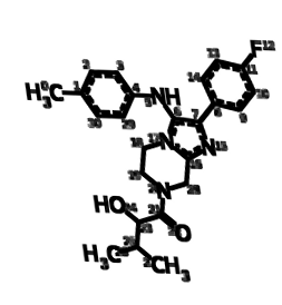 Cc1ccc(Nc2c(-c3ccc(F)cc3)nc3n2CCN(C(=O)C(O)C(C)C)C3)cc1